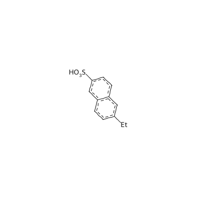 CCc1ccc2cc(S(=O)(=O)O)ccc2c1